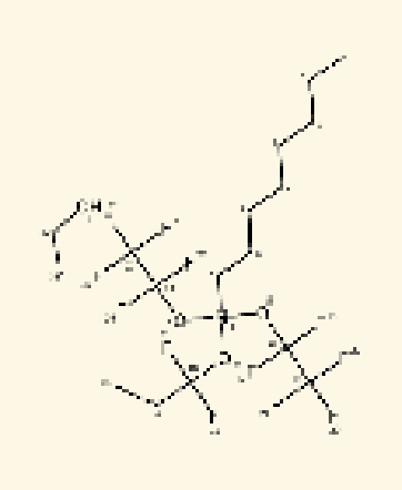 CCCCCCCC[Si](OC(F)(F)CF)(OC(F)(F)C(F)(F)F)OC(F)(F)C(F)(F)F.CCO